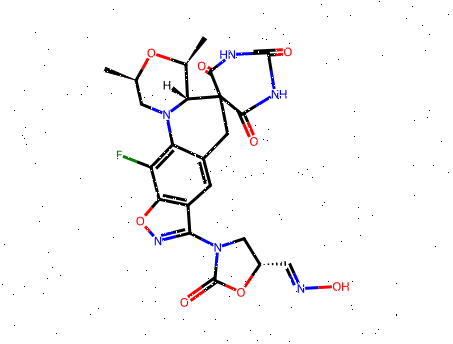 C[C@@H]1CN2c3c(cc4c(N5C[C@H](/C=N/O)OC5=O)noc4c3F)CC3(C(=O)NC(=O)NC3=O)[C@H]2[C@H](C)O1